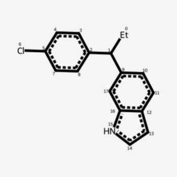 [CH2]CC(c1ccc(Cl)cc1)c1ccc2cc[nH]c2c1